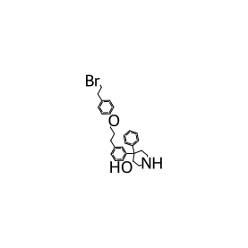 Oc1ccc(CCCOc2ccc(CCBr)cc2)cc1C1(c2ccccc2)CCNCC1